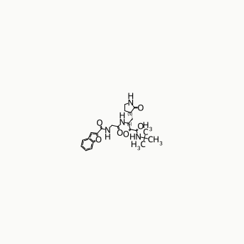 CC(C)(C)NC(=O)C(=O)[C@H](C[C@@H]1CCNC1=O)NC(=O)CNC(=O)c1cc2ccccc2o1